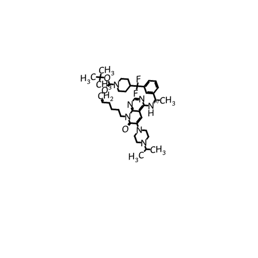 C=CCCCCn1c(=O)c(N2CCN(C(C)C)CC2)cc2c(N[C@H](C)c3cccc(C(F)(F)C4CCN(C(=O)OC(C)(C)C)CC4)c3)ncnc21